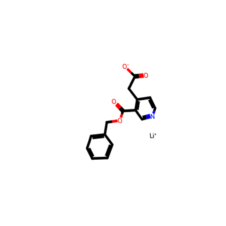 O=C([O-])Cc1ccncc1C(=O)OCc1ccccc1.[Li+]